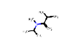 C=C(C(C)C)N(C)C(C)C